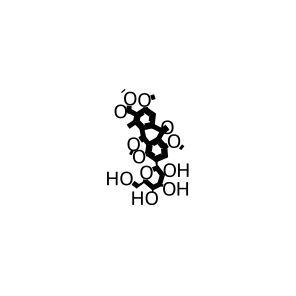 COC(=O)c1c(OC)cc2c(c1C)C(=O)c1c(OC)c([C@@H]3O[C@H](CO)[C@@H](O)[C@H](O)[C@H]3O)cc(OC)c1C2=O